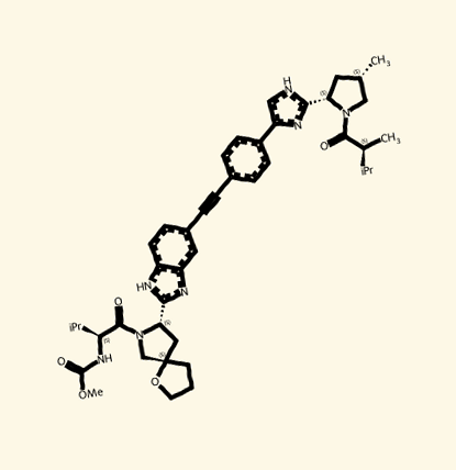 COC(=O)N[C@H](C(=O)N1C[C@]2(CCCO2)C[C@H]1c1nc2cc(C#Cc3ccc(-c4c[nH]c([C@@H]5C[C@H](C)CN5C(=O)[C@@H](C)C(C)C)n4)cc3)ccc2[nH]1)C(C)C